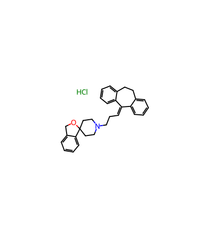 C(CCN1CCC2(CC1)OCc1ccccc12)=C1c2ccccc2CCc2ccccc21.Cl